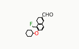 O=CC1=Cc2ccc(OC3CCCCC3)c(CF)c2CC1